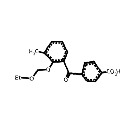 CCOCOc1c(C)cccc1C(=O)c1ccc(C(=O)O)cc1